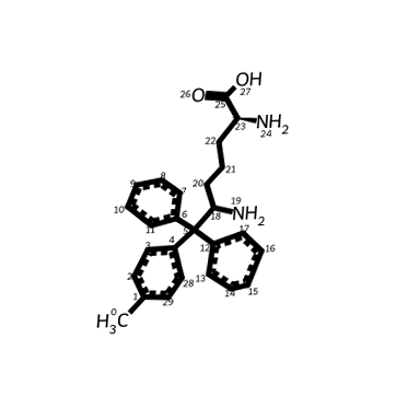 Cc1ccc(C(c2ccccc2)(c2ccccc2)C(N)CCC[C@H](N)C(=O)O)cc1